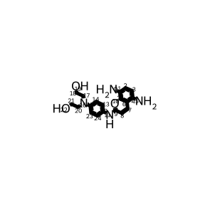 Nc1ccc(N)c(/C=C\C(=O)Nc2ccc(N(CCO)CCO)cc2)c1